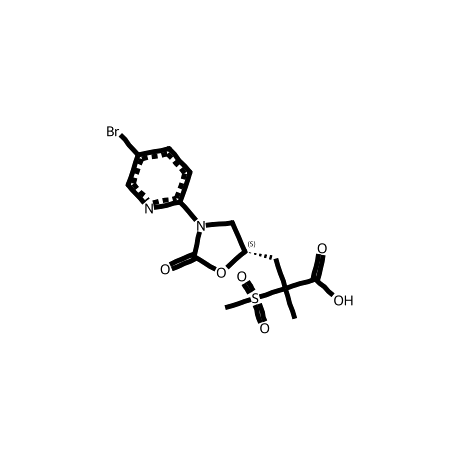 CC(C[C@H]1CN(c2ccc(Br)cn2)C(=O)O1)(C(=O)O)S(C)(=O)=O